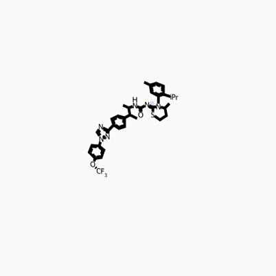 Cc1ccc(C(C)C)c(N2/C(=N/C(=O)NC(C)C(C)c3ccc(-c4ncn(-c5ccc(OC(F)(F)F)cc5)n4)cc3)SCCC2C)c1